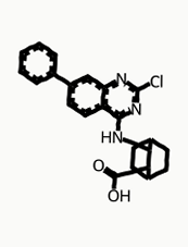 O=C(O)C1C2CCC(CC2)C1Nc1nc(Cl)nc2cc(-c3ccccc3)ccc12